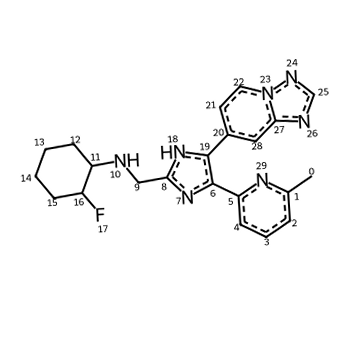 Cc1cccc(-c2nc(CNC3CCCCC3F)[nH]c2-c2ccn3ncnc3c2)n1